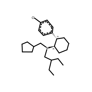 CCC(CC)CN(CC1CCCC1)[C@@H]1CC[CH]C[C@H]1c1ccc(Cl)cc1